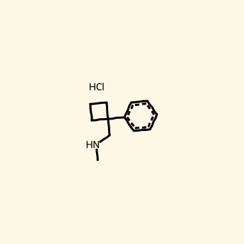 CNCC1(c2ccccc2)CCC1.Cl